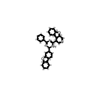 c1ccc(C2=NC(c3ccc4c(c3)oc3ccccc34)NC(c3cncc4oc5ccccc5c34)=N2)cc1